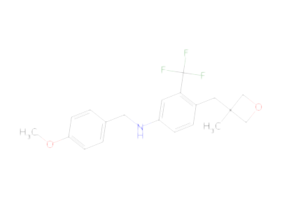 COc1ccc(CNc2ccc(CC3(C)COC3)c(C(F)(F)F)c2)cc1